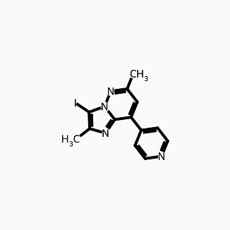 Cc1cc(-c2ccncc2)c2nc(C)c(I)n2n1